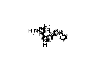 CCc1cc(-c2c[nH]c3ncc(-c4cnn(CC5CCCO5)c4)cc23)nc(N)n1